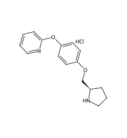 Cl.c1ccc(Oc2ccc(OC[C@H]3CCCN3)cc2)nc1